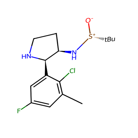 Cc1cc(F)cc([C@H]2NCC[C@H]2N[S@+]([O-])C(C)(C)C)c1Cl